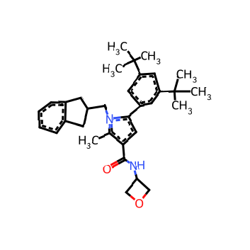 Cc1c(C(=O)NC2COC2)cc(-c2cc(C(C)(C)C)cc(C(C)(C)C)c2)n1CC1Cc2ccccc2C1